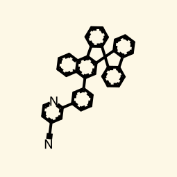 N#Cc1ccnc(-c2cccc(-c3cc4c(c5ccccc35)-c3ccccc3C43c4ccccc4-c4ccccc43)c2)c1